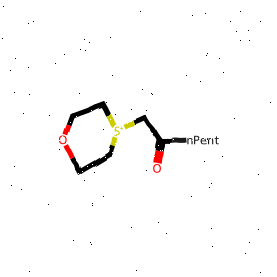 CCCCCC(=O)C[S+]1CCOCC1